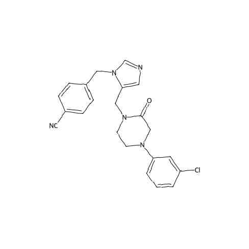 N#Cc1ccc(Cn2cncc2CN2CCN(c3cccc(Cl)c3)CC2=O)cc1